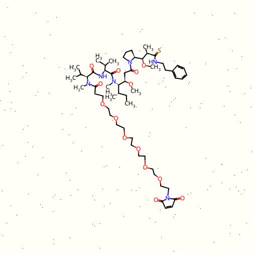 CC[C@H](C)[C@@H]([C@@H](CC(=O)N1CCC[C@H]1[C@H](OC)[C@@H](C)C(=S)NCCc1ccccc1)OC)N(C)C(=O)[C@@H](NC(=O)[C@H](C(C)C)N(C)C(=O)CCOCCOCCOCCOCCOCCOCCN1C(=O)C=CC1=O)C(C)C